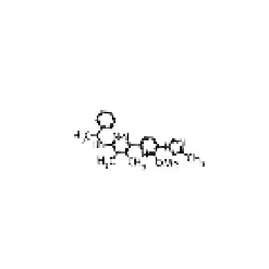 COc1nc(-c2nnc(NC(C)c3ccccc3)c(C)c2C)ccc1-n1cnc(C)c1